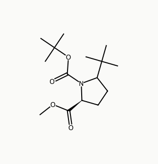 COC(=O)[C@@H]1CCC(C(C)(C)C)N1C(=O)OC(C)(C)C